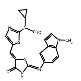 Cn1ccc2cc(N=C3NC(=O)/C(=C/c4cnc(N(C=O)C5CC5)s4)S3)ccc21